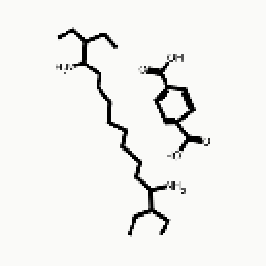 CCC(CC)C(N)CCCCCCCCC(N)C(CC)CC.O=C(O)c1ccc(C(=O)O)cc1